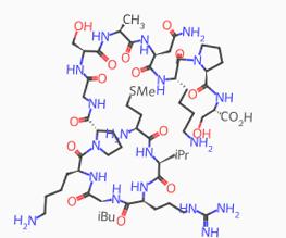 CC[C@H](C)[C@H](NC(=O)[C@H](CCCNC(=N)N)NC(=O)[C@@H](NC(=O)[C@@H](N)CCSC)C(C)C)C(=O)N[C@@H](CCCCN)C(=O)N1CCC[C@H]1C(=O)NCC(=O)N[C@@H](CO)C(=O)N[C@@H](C)C(=O)N[C@@H](CC(N)=O)C(=O)N[C@@H](CCCCN)C(=O)N1CCC[C@H]1C(=O)N[C@@H](CO)C(=O)O